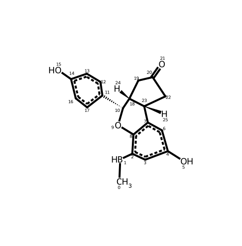 CBc1cc(O)cc2c1O[C@H](c1ccc(O)cc1)[C@@H]1CC(=O)C[C@H]21